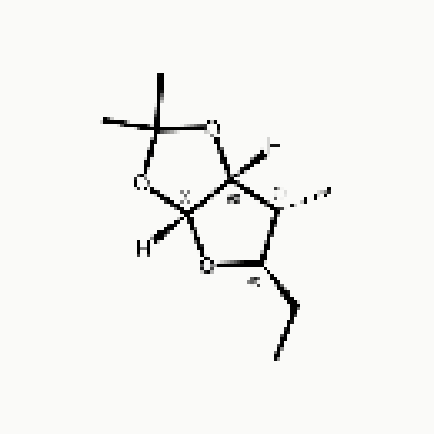 CC[C@H]1O[C@@H]2OC(C)(C)O[C@@H]2[C@@H]1C